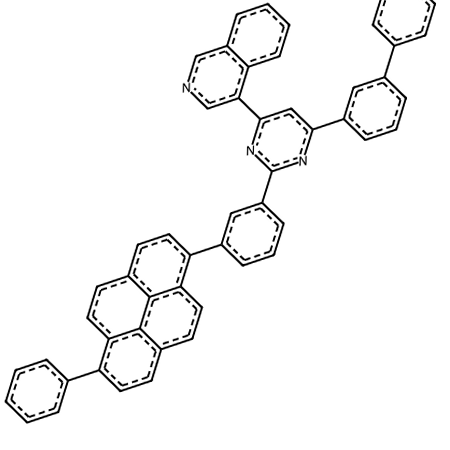 c1ccc(-c2ccc3ccc4c(-c5cccc(-c6nc(-c7cccc(-c8cccnc8)c7)cc(-c7cncc8ccccc78)n6)c5)ccc5ccc2c3c54)cc1